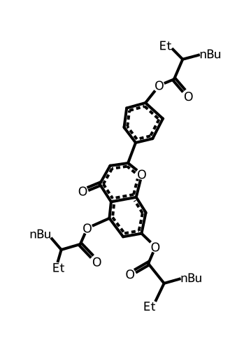 CCCCC(CC)C(=O)Oc1ccc(-c2cc(=O)c3c(OC(=O)C(CC)CCCC)cc(OC(=O)C(CC)CCCC)cc3o2)cc1